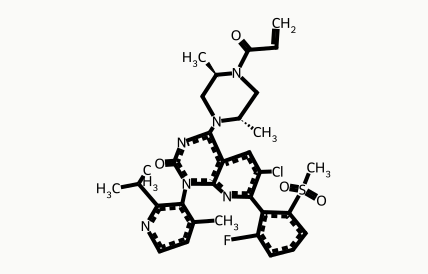 C=CC(=O)N1C[C@H](C)N(c2nc(=O)n(-c3c(C)ccnc3C(C)C)c3nc(-c4c(F)cccc4S(C)(=O)=O)c(Cl)cc23)C[C@H]1C